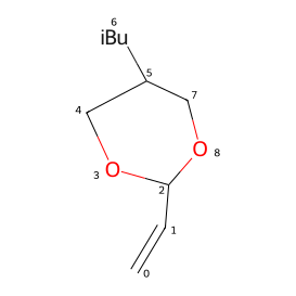 C=CC1OCC(C(C)CC)CO1